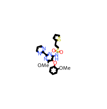 COc1ccccc1Oc1c(NS(=O)(=O)C=Cc2cccs2)nc(-c2ncccn2)nc1OC